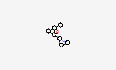 c1ccc(-c2ccc3c4ccccc4c4ccc(-c5ccc6c(c5)c5cccc7c8ccccc8n6c75)c5oc2c3c54)cc1